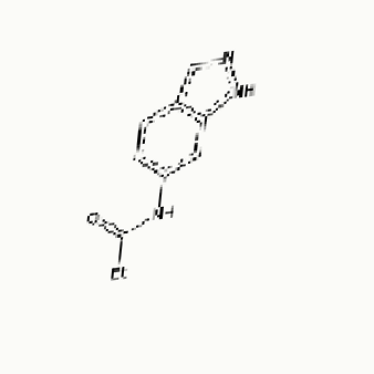 CCC(=O)Nc1ccc2cn[nH]c2c1